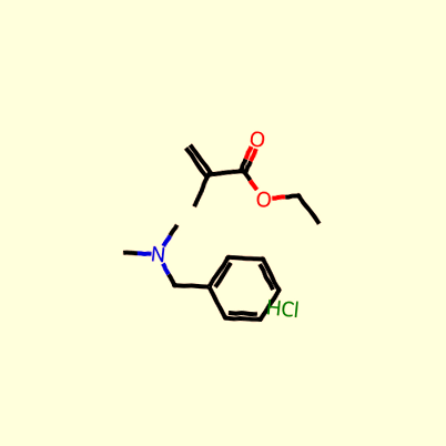 C=C(C)C(=O)OCC.CN(C)Cc1ccccc1.Cl